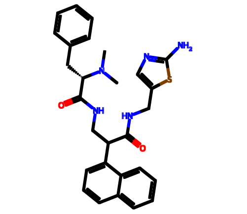 CN(C)[C@@H](Cc1ccccc1)C(=O)NCC(C(=O)NCc1cnc(N)s1)c1cccc2ccccc12